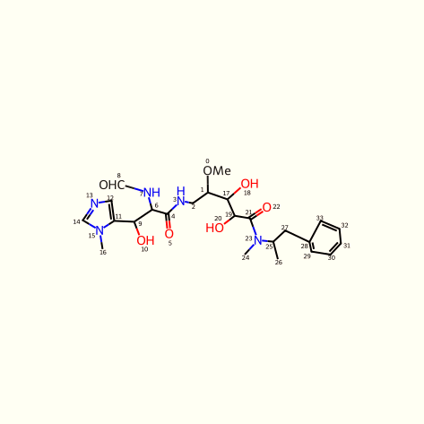 COC(CNC(=O)C(NC=O)C(O)c1cncn1C)C(O)C(O)C(=O)N(C)C(C)Cc1ccccc1